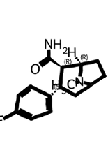 CN1C2CC[C@@H]1[C@H](C(N)=O)[C@@H](c1ccc(F)cc1)C2